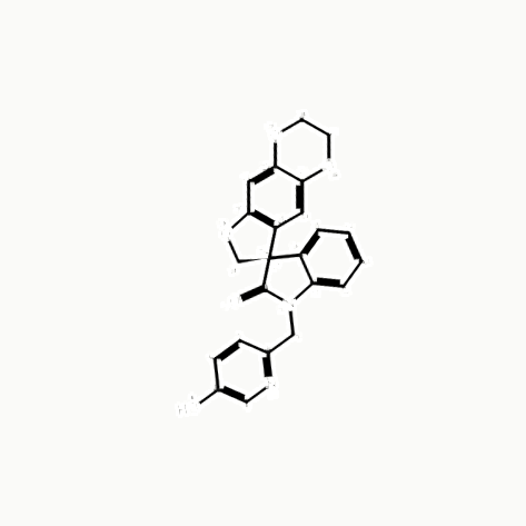 O=C1N(Cc2ccc(O)cn2)c2ccccc2[C@]12COc1cc3c(cc12)OCCO3